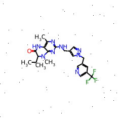 Cc1nc(NCc2cnn(Cc3cncc(C(F)(F)F)c3)c2)nc2c1NC(=O)C(C(C)C)N2C